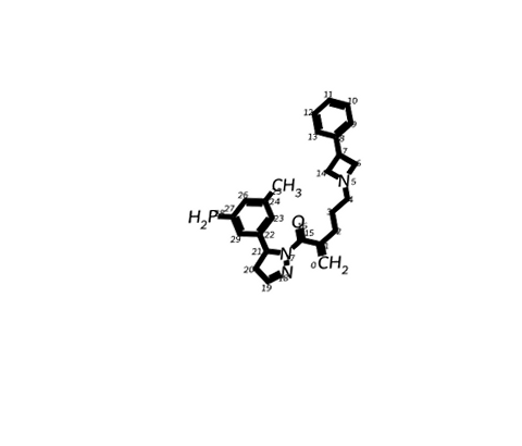 C=C(CCCN1CC(c2ccccc2)C1)C(=O)N1N=CCC1c1cc(C)cc(P)c1